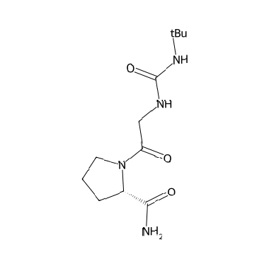 CC(C)(C)NC(=O)NCC(=O)N1CCC[C@H]1C(N)=O